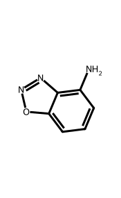 Nc1cccc2onnc12